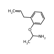 C=CCc1ccccc1OC(C)N